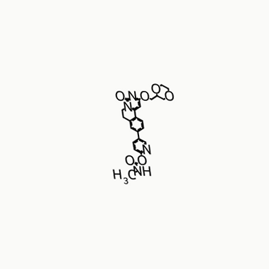 CNC(=O)Oc1ccc(-c2ccc3c(c2)CCn2c-3cc(OCC3COCCO3)nc2=O)cn1